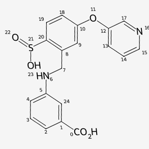 O=C(O)c1cccc(NCc2cc(Oc3cccnc3)ccc2S(=O)O)c1